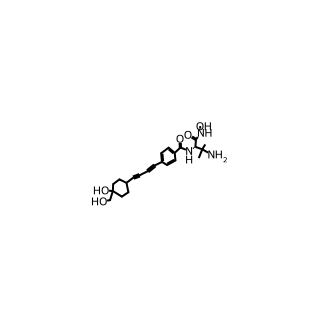 CC(C)(N)[C@H](NC(=O)c1ccc(C#CC#CC2CCC(O)(CO)CC2)cc1)C(=O)NO